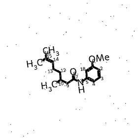 COc1cccc(NC(=O)CC(C)CCC=C(C)C)c1